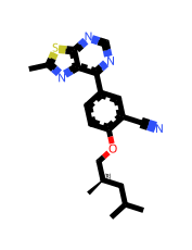 Cc1nc2c(-c3ccc(OC[C@H](C)CC(C)C)c(C#N)c3)ncnc2s1